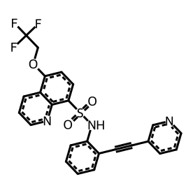 O=S(=O)(Nc1ccccc1C#Cc1cccnc1)c1ccc(OCC(F)(F)F)c2cccnc12